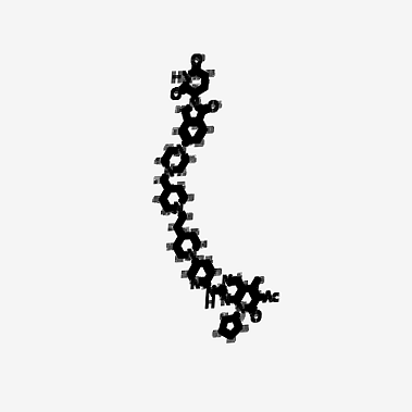 CC(=O)c1c(C)c2cnc(Nc3ccc(N4CCC(CCN5CCC(CN6CCN(c7ccc8c(c7)CN(C7CCC(=O)NC7=O)C8=O)CC6)CC5)CC4)cn3)nc2n(C2CCCC2)c1=O